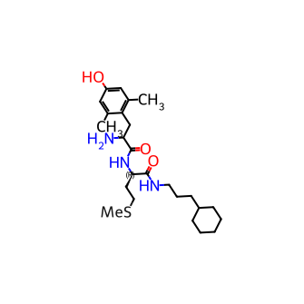 CSCC[C@@H](NC(=O)C(N)Cc1c(C)cc(O)cc1C)C(=O)NCCCC1CCCCC1